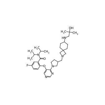 CC(C)N(C(=O)c1cc(F)ccc1Oc1cncnc1N1CCC(CN2CC3(CCC(NCC(C)(C)O)CC3)C2)C1)C(C)C